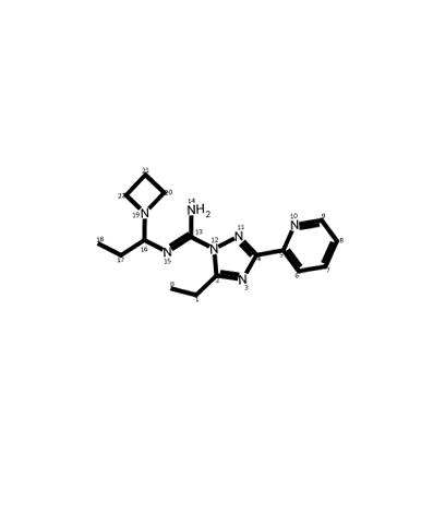 CCc1nc(-c2ccccn2)nn1C(N)=NC(CC)N1CCC1